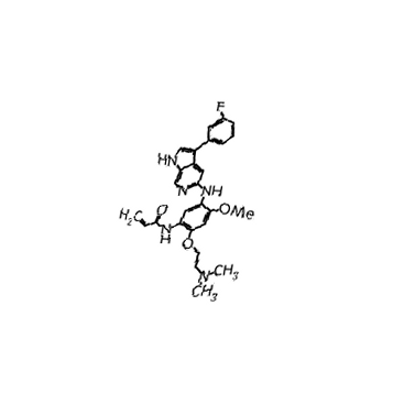 C=CC(=O)Nc1cc(Nc2cc3c(-c4cccc(F)c4)c[nH]c3cn2)c(OC)cc1OCCN(C)C